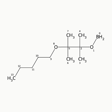 BOC(C)(C)C(C)(C)OCCCCC